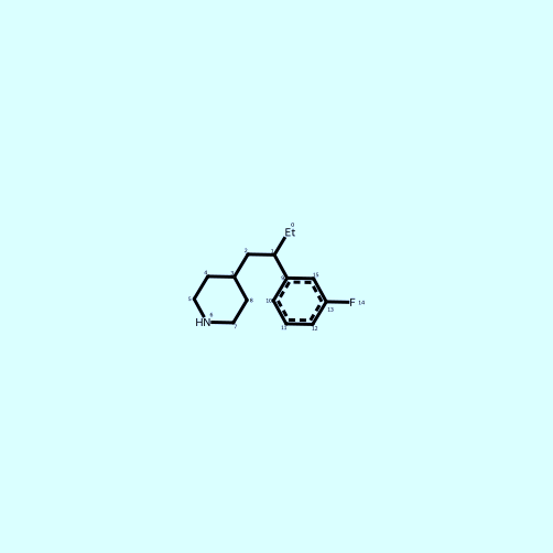 CCC(CC1CCNCC1)c1cccc(F)c1